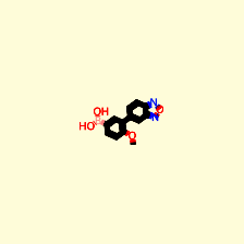 COc1ccc(B(O)O)cc1-c1ccc2nonc2c1